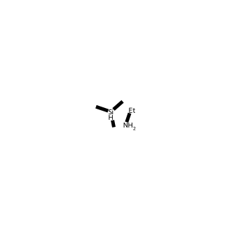 CCN.C[SiH](C)C